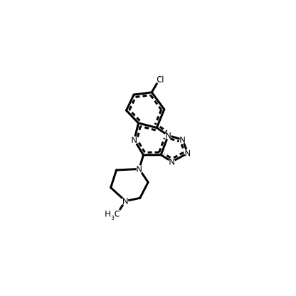 CN1CCN(c2nc3ccc(Cl)cc3n3nnnc23)CC1